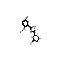 CCOc1ccc(Cl)cc1-c1nnc(C2CC(=O)CCO2)o1